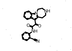 N#Cc1ccccc1NC(=O)C(=O)c1c2n(c3ccccc13)CCNCC2